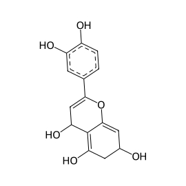 OC1=C2C(=CC(O)C1)OC(c1ccc(O)c(O)c1)=CC2O